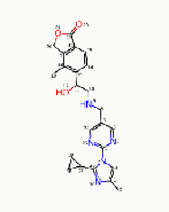 Cc1cn(-c2ncc(CNCC(O)c3ccc4c(c3C)COC4=O)cn2)c(C2CC2)n1